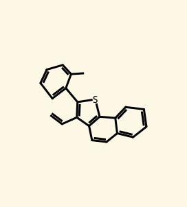 C=Cc1c(-c2ccccc2C)sc2c1ccc1ccccc12